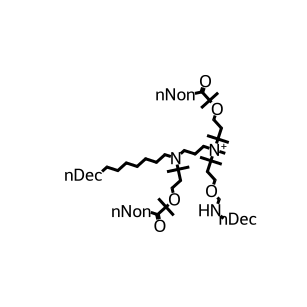 CCCCCCCCCCCCCCCCCN(CCC[N+](C)(C(C)(C)CCOCNCCCCCCCCCC)C(C)(C)CCOC(C)(C)C(=O)CCCCCCCCC)C(C)(C)CCOC(C)(C)C(=O)CCCCCCCCC